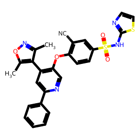 Cc1noc(C)c1-c1cc(-c2ccccc2)ncc1Oc1ccc(S(=O)(=O)Nc2nccs2)cc1C#N